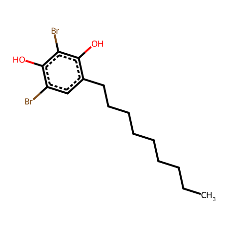 CCCCCCCCCc1cc(Br)c(O)c(Br)c1O